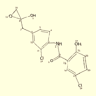 O=C(Nc1ccc(CC2(O)CO2)cc1Cl)c1cc(Cl)ccc1O